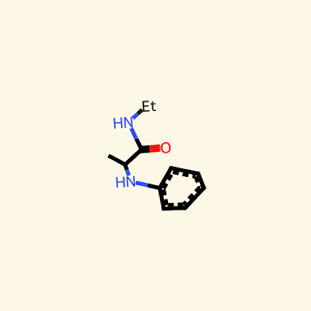 CCNC(=O)C(C)Nc1ccccc1